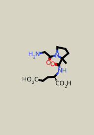 CC1(C(=O)N[C@H](CCC(=O)O)C(=O)O)CCCN1C(=O)CN